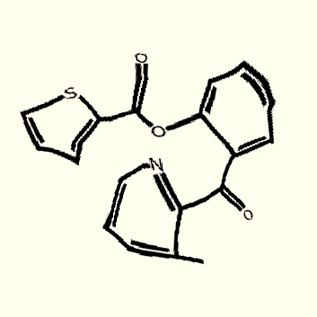 Cc1cccnc1C(=O)c1ccccc1OC(=O)c1cccs1